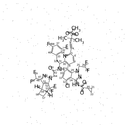 CC(C)(C#Cc1ccc(-c2ccc(Cl)c3c(NS(=O)(=O)C4CC4)nn(CC(F)F)c23)c([C@H](Cc2cc(F)cc(F)c2)NC(=O)Cn2nc(C(F)F)c3c2C(F)(F)[C@@H]2CC[C@H]32)n1)S(C)(=O)=O